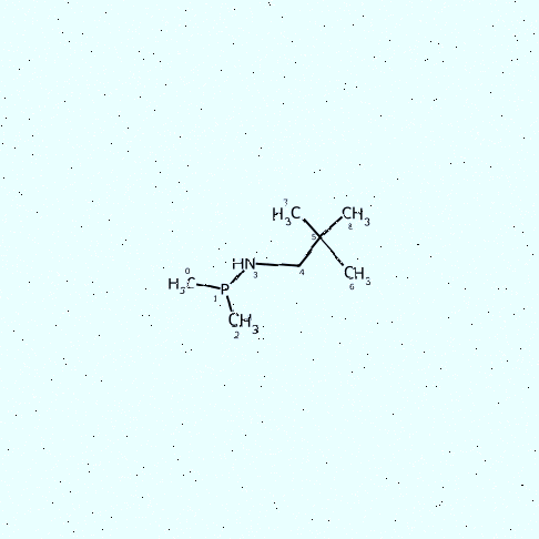 CP(C)NCC(C)(C)C